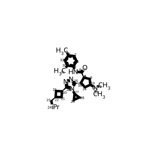 Cc1ccc(NC(=O)[C@H]2CC(N(C)C)C[C@@H]2c2nnc([C@H]3C[C@@H](CC(C)C)C3)n2C2CC2)c(C)c1